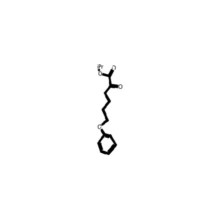 CC(C)OC(=O)C(=O)CCCCOc1ccccc1